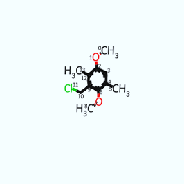 COc1cc(C)c(OC)c(CCl)c1C